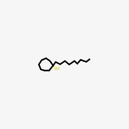 CCCCCCCCCC1(S)CCCCCCC1